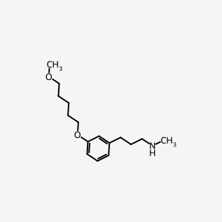 CNCCCc1cccc(OCCCCCOC)c1